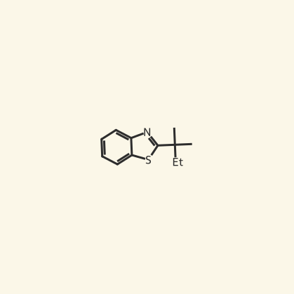 CCC(C)(C)c1nc2ccccc2s1